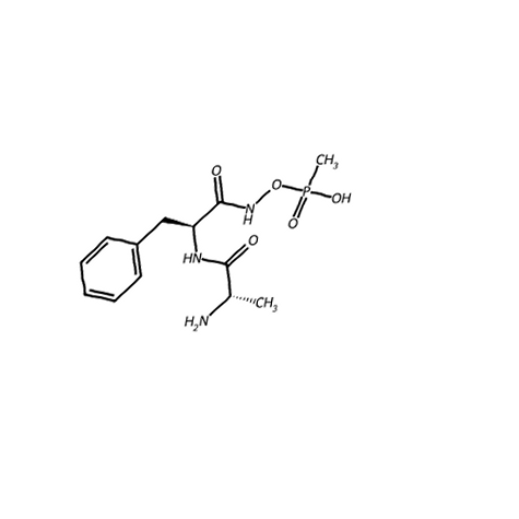 C[C@H](N)C(=O)N[C@@H](Cc1ccccc1)C(=O)NOP(C)(=O)O